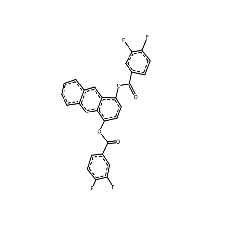 O=C(Oc1ccc(OC(=O)c2ccc(F)c(F)c2)c2cc3ccccc3cc12)c1ccc(F)c(F)c1